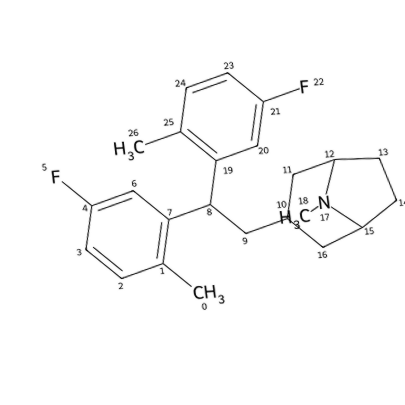 Cc1ccc(F)cc1C(CC1CC2CCC(C1)N2C)c1cc(F)ccc1C